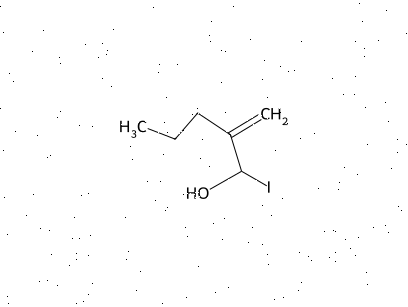 C=C(CCC)C(O)I